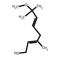 COC(C)(C)C=CCC(C)=CCO